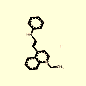 CC[n+]1ccc(/C=C/Nc2ccccc2)c2ccccc21.[I-]